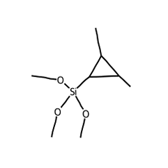 CO[Si](OC)(OC)C1C(C)C1C